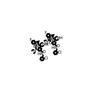 CCN(CC)CC[N+]1(S(=O)(=O)c2ccc(F)cc2)c2ccc(C(=O)NCc3ccccc3Cl)cc2C2(CCNCC2)C1C1CC1.CCNC(=O)C(=O)[N+]1(S(=O)(=O)c2ccc(F)cc2)c2ccc(C(=O)NCc3ccccc3Cl)cc2C2(CCNCC2)C1C1CC1